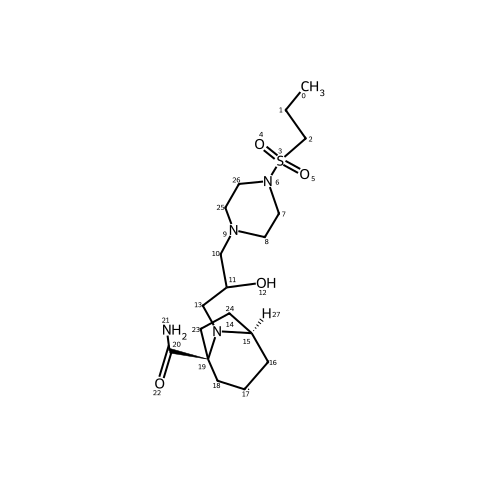 CCCS(=O)(=O)N1CCN(CC(O)CN2[C@@H]3C[CH]C[C@]2(C(N)=O)CC3)CC1